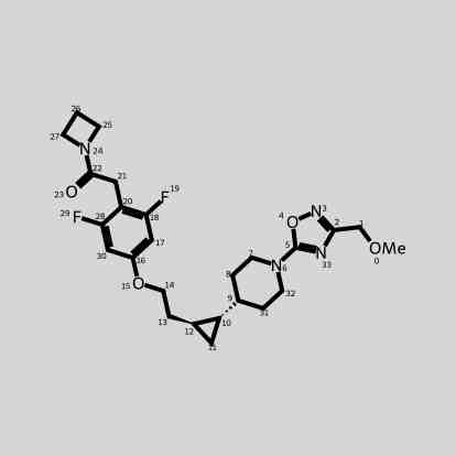 COCc1noc(N2CCC([C@@H]3C[C@H]3CCOc3cc(F)c(CC(=O)N4CCC4)c(F)c3)CC2)n1